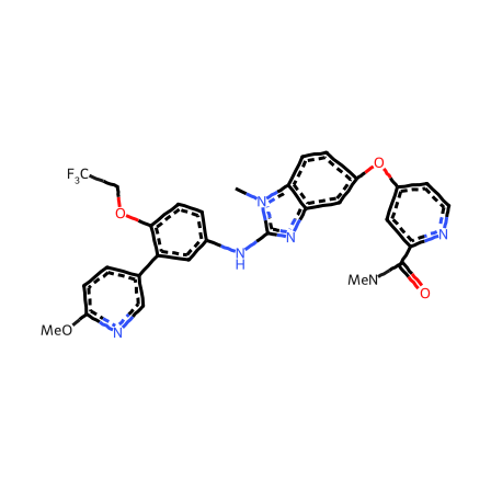 CNC(=O)c1cc(Oc2ccc3c(c2)nc(Nc2ccc(OCC(F)(F)F)c(-c4ccc(OC)nc4)c2)n3C)ccn1